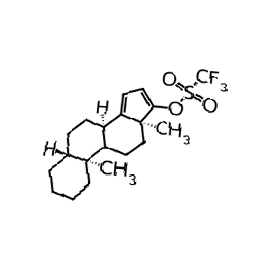 C[C@]12CCC3[C@@H](CC[C@H]4CCCC[C@]34C)C1=CC=C2OS(=O)(=O)C(F)(F)F